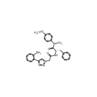 COc1ccc(N(C)C(=O)[C@H](Cc2ccccc2)NC(=O)Cn2cc(-c3ccccc3N)nn2)cc1